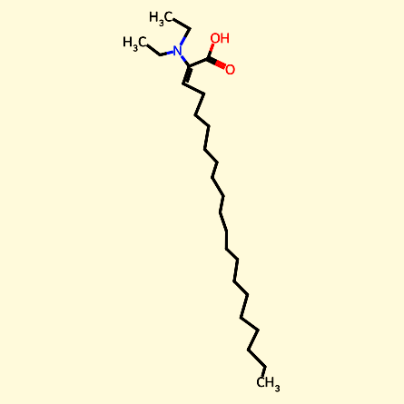 CCCCCCCCCCCCCCCCCC/C=C(\C(=O)O)N(CC)CC